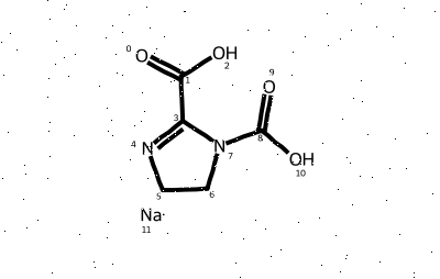 O=C(O)C1=NCCN1C(=O)O.[Na]